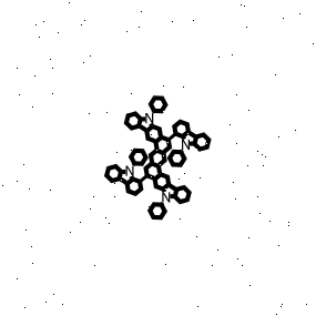 c1ccc(-n2c3ccccc3c3cc4c(cc32)c(-c2cccc3c5ccccc5n(-c5ccccc5)c23)cc2cc3c(cc(-c5cccc6c7ccccc7n(-c7ccccc7)c56)c5cc6c(cc53)c3ccccc3n6-c3ccccc3)cc24)cc1